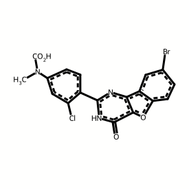 CN(C(=O)O)c1ccc(-c2nc3c(oc4ccc(Br)cc43)c(=O)[nH]2)c(Cl)c1